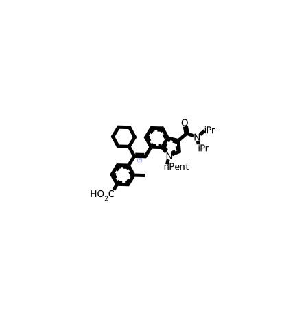 CCCCCn1cc(C(=O)N(C(C)C)C(C)C)c2cccc(/C=C(/c3ccc(C(=O)O)cc3C)C3CCCCC3)c21